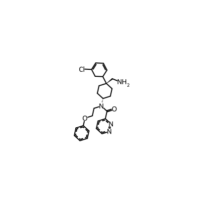 NC[C@]1(C2C=CC=C(Cl)C2)CC[C@@H](N(CCOc2ccccc2)C(=O)c2cccnn2)CC1